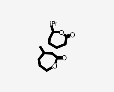 CC(C)C1CCCCC(=O)O1.CC1CCCOC(=O)C1